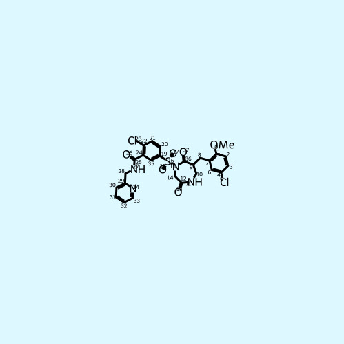 COc1ccc(Cl)cc1CC1CNC(=O)CN(S(=O)(=O)c2ccc(Cl)c(C(=O)NCc3ccccn3)c2)C1=O